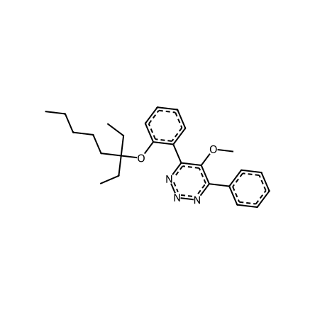 CCCCCC(CC)(CC)Oc1ccccc1-c1nnnc(-c2ccccc2)c1OC